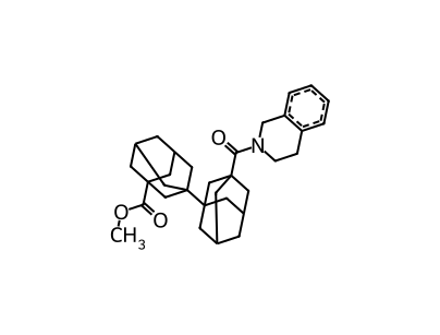 COC(=O)C12CC3CC(C1)CC(C14CC5CC(CC(C(=O)N6CCc7ccccc7C6)(C5)C1)C4)(C3)C2